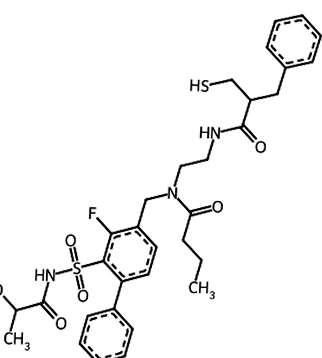 CCCC(=O)N(CCNC(=O)C(CS)Cc1ccccc1)Cc1ccc(-c2ccccc2)c(S(=O)(=O)NC(=O)C(C)O)c1F